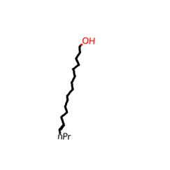 CCCC=CCCCCCCCCCCCCCO